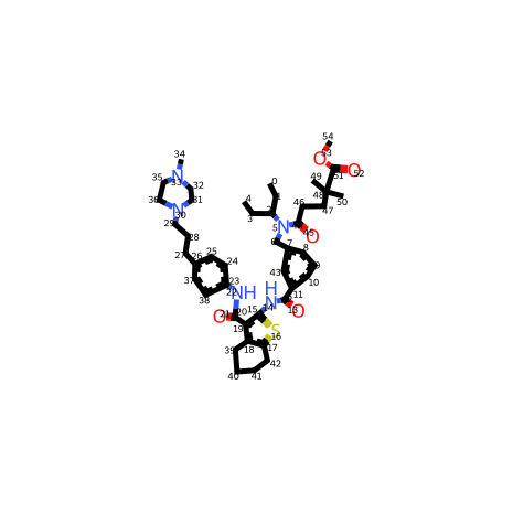 CCC(CC)N(Cc1cccc(C(=O)Nc2sc3c(c2C(=O)Nc2ccc(CCCN4CCN(C)CC4)cc2)CCCC3)c1)C(=O)CCC(C)(C)C(=O)OC